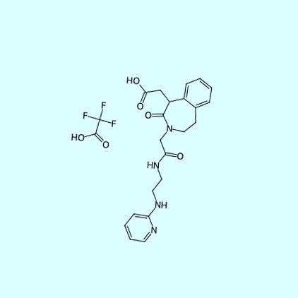 O=C(O)C(F)(F)F.O=C(O)CC1C(=O)N(CC(=O)NCCNc2ccccn2)CCc2ccccc21